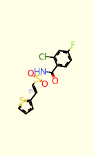 O=C(NS(=O)(=O)/C=C/c1cccs1)c1ccc(F)cc1Cl